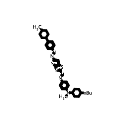 CCCCC1CCC(N(C)c2ccc(N=Nc3nc4sc(N=Nc5ccc(C6CCC(C)CC6)cc5)cc4s3)cc2)CC1